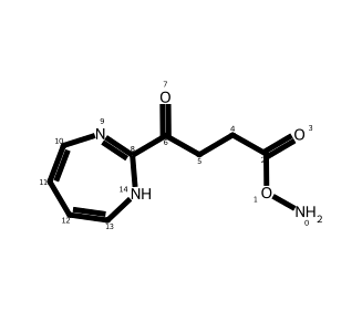 NOC(=O)CCC(=O)C1=NC=CC=CN1